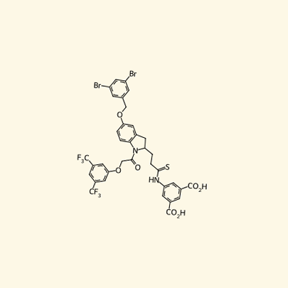 O=C(O)c1cc(NC(=S)CCC2Cc3cc(OCc4cc(Br)cc(Br)c4)ccc3N2C(=O)COc2cc(C(F)(F)F)cc(C(F)(F)F)c2)cc(C(=O)O)c1